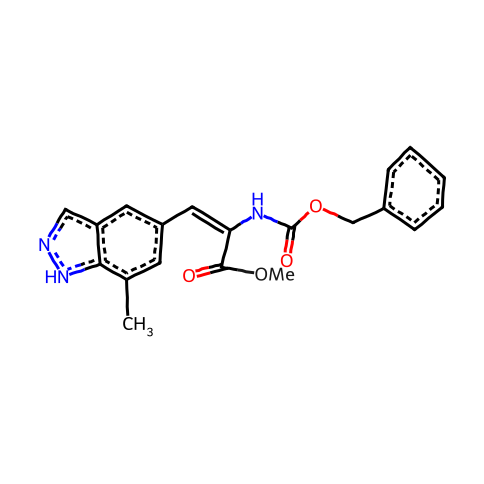 COC(=O)/C(=C\c1cc(C)c2[nH]ncc2c1)NC(=O)OCc1ccccc1